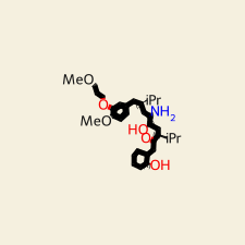 COCCCOc1cc(C[C@@H](C[C@H](N)[C@@H](O)C[C@H](C(=O)CC2CCCC[C@H]2O)C(C)C)C(C)C)ccc1OC